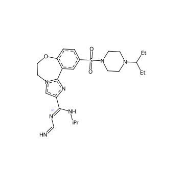 CCC(CC)N1CCN(S(=O)(=O)c2ccc3c(c2)-c2nc(/C(=N/C=N)NC(C)C)cn2CCO3)CC1